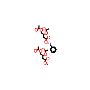 COC(=O)CC(COC(C)=O)OC(C)=O.COC(=O)CC(COC(C)=O)OC(C)=O.Ic1ccccc1